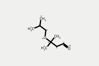 CC(C)COC(C)(C)CC=O